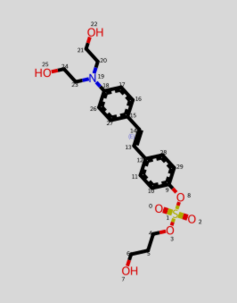 O=S(=O)(OCCCO)Oc1ccc(/C=C/c2ccc(N(CCO)CCO)cc2)cc1